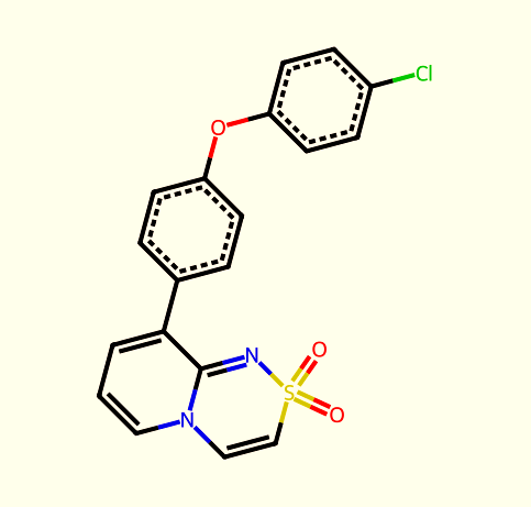 O=S1(=O)C=CN2C=CC=C(c3ccc(Oc4ccc(Cl)cc4)cc3)C2=N1